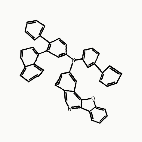 c1ccc(-c2cccc(N(c3ccc(-c4ccccc4)c(-c4cccc5ccccc45)c3)c3ccc4cnc5c6ccccc6oc5c4c3)c2)cc1